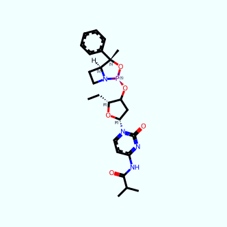 CC[C@H]1O[C@@H](n2ccc(NC(=O)C(C)C)nc2=O)CC1O[P@]1O[C@@](C)(c2ccccc2)[C@@H]2CCN21